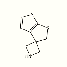 c1cc2c(s1)SCC21CNC1